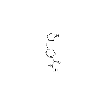 CNC(=O)c1ccc(C[C@@H]2CCNC2)cn1